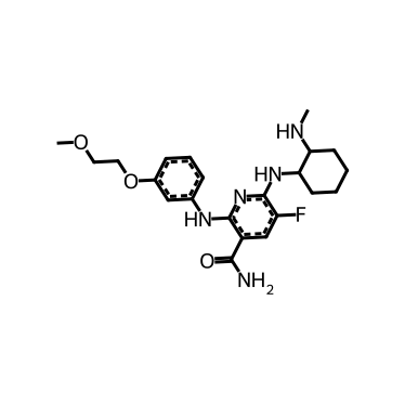 CNC1CCCCC1Nc1nc(Nc2cccc(OCCOC)c2)c(C(N)=O)cc1F